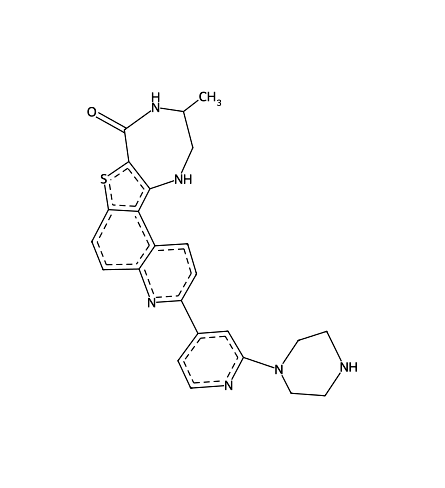 CC1CNc2c(sc3ccc4nc(-c5ccnc(N6CCNCC6)c5)ccc4c23)C(=O)N1